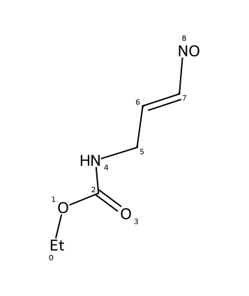 CCOC(=O)NCC=CN=O